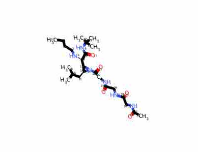 CCCCN[C@H](C(=O)NC(C)(C)C)C1[C@H](CC(C)C)N1C(=O)CNC(=O)CNC(=O)CNC(C)=O